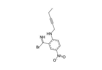 CCC#CCNc1ccc([N+](=O)[O-])cc1C(=N)Br